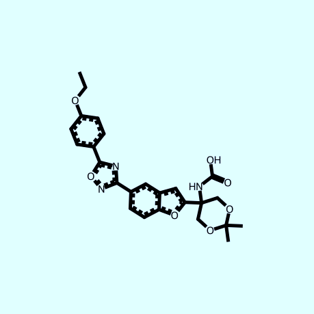 CCOc1ccc(-c2nc(-c3ccc4oc(C5(NC(=O)O)COC(C)(C)OC5)cc4c3)no2)cc1